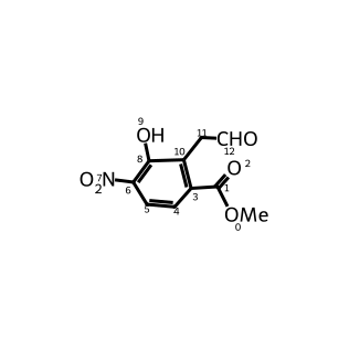 COC(=O)c1ccc([N+](=O)[O-])c(O)c1CC=O